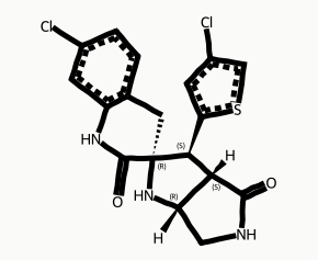 O=C1NC[C@@H]2N[C@]3(Cc4ccc(Cl)cc4NC3=O)[C@@H](c3cc(Cl)cs3)[C@H]12